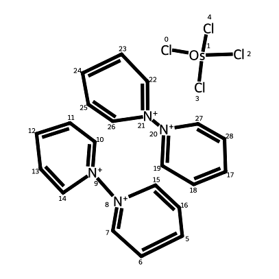 [Cl][Os]([Cl])([Cl])[Cl].c1cc[n+](-[n+]2ccccc2)cc1.c1cc[n+](-[n+]2ccccc2)cc1